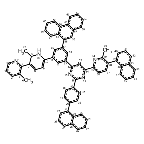 Cc1cccnc1C1=CC=C(c2cc(-c3nc(-c4ccc(-c5cccc6ccccc56)cn4)nc(-c4ccc(-c5cccc6ccccc56)c(C)n4)n3)cc(-c3cc4ccccc4c4ccccc34)c2)NC1C